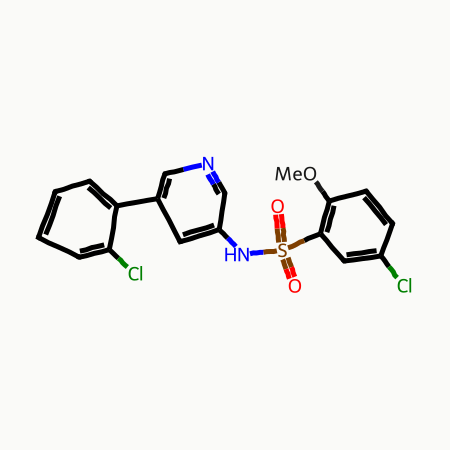 COc1ccc(Cl)cc1S(=O)(=O)Nc1cncc(-c2ccccc2Cl)c1